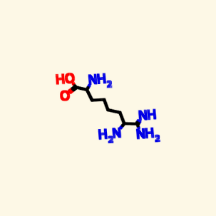 N=C(N)C(N)CCCCC(N)C(=O)O